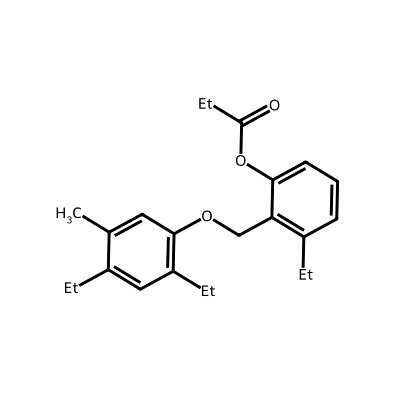 CCC(=O)Oc1cccc(CC)c1COc1cc(C)c(CC)cc1CC